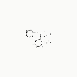 CCP1(=O)Oc2ccccc2-c2cccc(C)c21